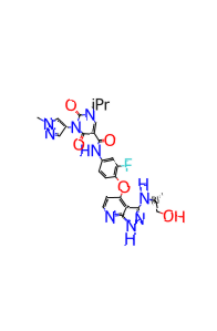 CC(C)n1cc(C(=O)Nc2ccc(Oc3ccnc4[nH]nc(N[C@H](C)CO)c34)c(F)c2)c(=O)n(-c2cnn(C)c2)c1=O